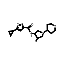 CC1CN(C2CCOCC2)CC1NC(=O)c1cc(C2CC2)on1